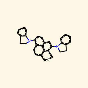 c1ccc2c(c1)CCN2c1cc2ccc(N3CCc4ccccc43)c3ccc4cccc1c4c23